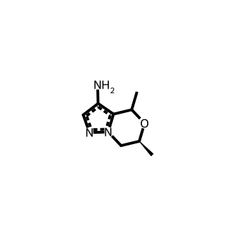 CC1O[C@@H](C)Cn2ncc(N)c21